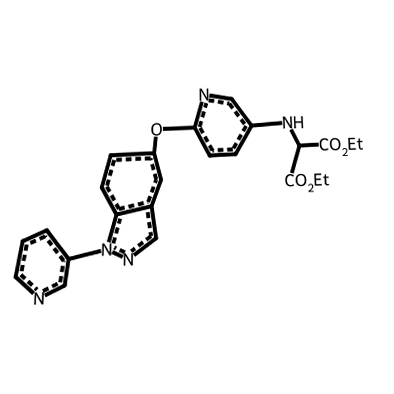 CCOC(=O)C(Nc1ccc(Oc2ccc3c(cnn3-c3cccnc3)c2)nc1)C(=O)OCC